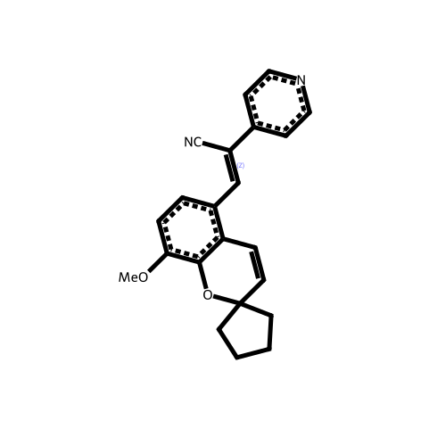 COc1ccc(/C=C(\C#N)c2ccncc2)c2c1OC1(C=C2)CCCC1